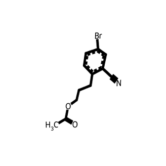 CC(=O)OCCCc1ccc(Br)cc1C#N